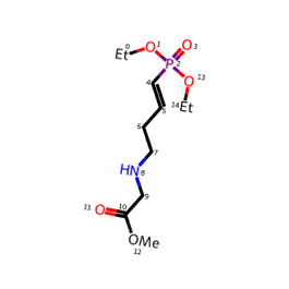 CCOP(=O)(C=CCCNCC(=O)OC)OCC